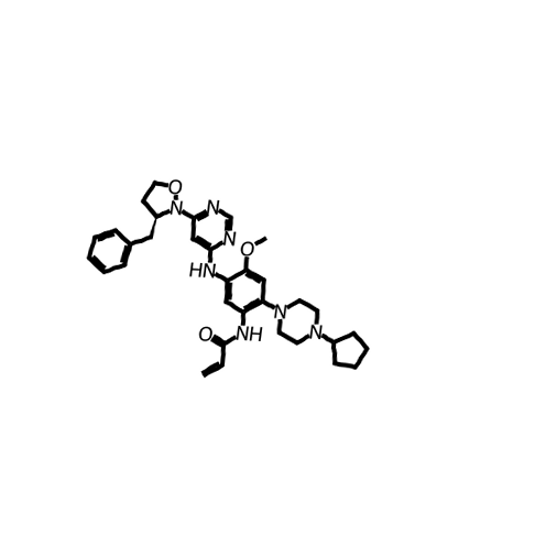 C=CC(=O)Nc1cc(Nc2cc(N3OCC[C@@H]3Cc3ccccc3)ncn2)c(OC)cc1N1CCN(C2CCCC2)CC1